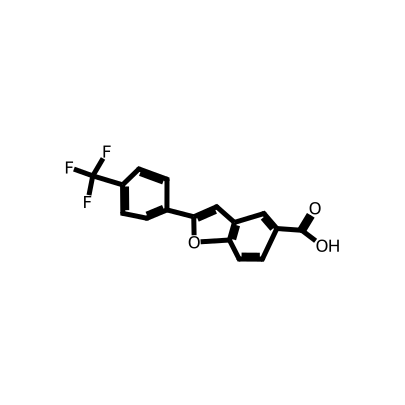 O=C(O)c1ccc2oc(-c3ccc(C(F)(F)F)cc3)cc2c1